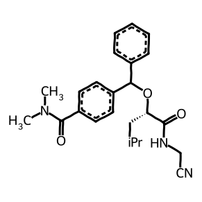 CC(C)C[C@H](OC(c1ccccc1)c1ccc(C(=O)N(C)C)cc1)C(=O)NCC#N